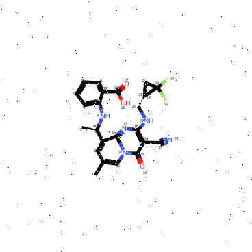 Cc1cc([C@@H](C)Nc2ccccc2C(=O)O)c2nc(NC[C@@H]3CC3(F)F)c(C#N)c(=O)n2c1